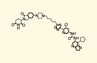 O=C1CCC(N2Cc3cc(N4CCN(CCCCCc5nc(-c6ncc(NC(=O)Nc7cnc8ccnn8c7C7CCCC7)cc6Cl)no5)CC4)ccc3C2=O)C(=O)N1